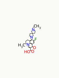 CCN1CCC2(CCN(c3c(F)cc4c(=O)c(C(=O)O)cn5c4c3CCC5C)C2)C1